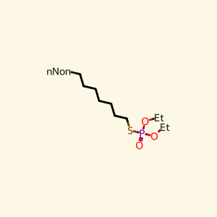 CCCCCCCCCCCCCCCCSP(=O)(OCC)OCC